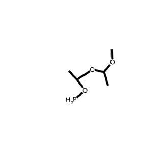 COC(C)OC(C)OP